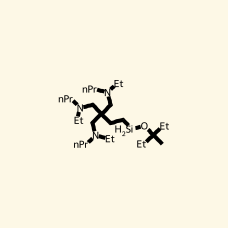 CCCN(CC)CC(CC[SiH2]OC(C)(CC)CC)(CN(CC)CCC)CN(CC)CCC